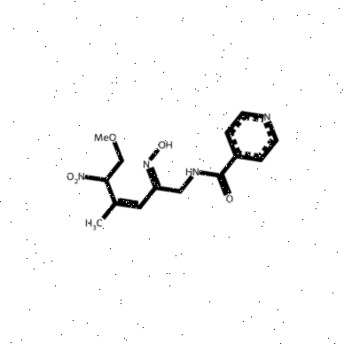 COCC(C(C)=CC(CNC(=O)c1ccncc1)=NO)[N+](=O)[O-]